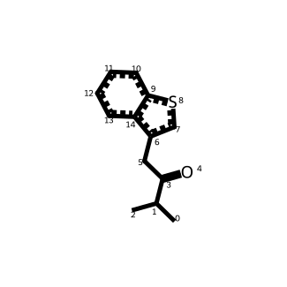 CC(C)C(=O)Cc1csc2ccccc12